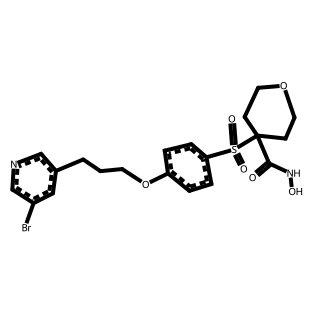 O=C(NO)C1(S(=O)(=O)c2ccc(OCCCc3cncc(Br)c3)cc2)CCOCC1